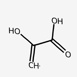 [CH]=C(O)C(=O)O